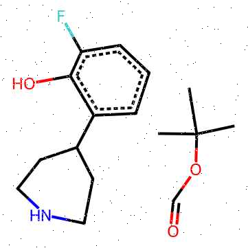 CC(C)(C)OC=O.Oc1c(F)cccc1C1CCNCC1